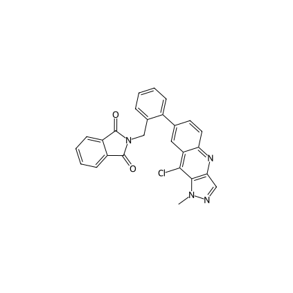 Cn1ncc2nc3ccc(-c4ccccc4CN4C(=O)c5ccccc5C4=O)cc3c(Cl)c21